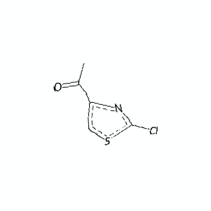 CC(=O)c1csc(Cl)n1